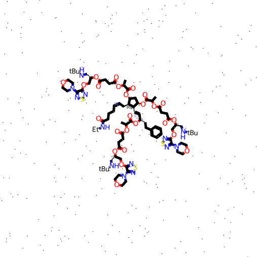 CCNC(=O)CCC/C=C\C[C@@H]1[C@@H](/C=C/[C@H](CCc2ccccc2)OC(=O)C(C)OC(=O)CCC(=O)O[C@@H](CNC(C)(C)C)COc2nsnc2N2CCOCC2)[C@H](OC(=O)C(C)OC(=O)CCC(=O)O[C@@H](CNC(C)(C)C)COc2nsnc2N2CCOCC2)C[C@@H]1OC(=O)C(C)OC(=O)CCC(=O)O[C@@H](CNC(C)(C)C)COc1nsnc1N1CCOCC1